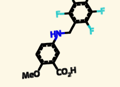 COc1ccc(NCc2c(F)c(F)c(F)c(F)c2F)cc1C(=O)O